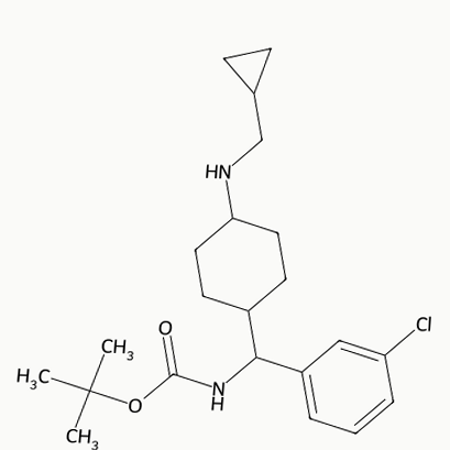 CC(C)(C)OC(=O)NC(c1cccc(Cl)c1)C1CCC(NCC2CC2)CC1